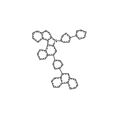 c1ccc(-c2ccc(-n3c4ccc5ccccc5c4c4c5ccccc5c(-c5ccc(-c6cc7ccccc7c7ccccc67)cc5)cc43)cc2)cc1